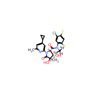 [2H]C([2H])([2H])N(C(=O)[C@@H]1[C@H](O)[C@](C)(O)C(=O)N1c1cc(C2CC2)cc(C)n1)c1cc(Cl)c(F)cc1F